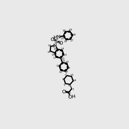 O=C(O)C[C@H]1CC[C@H](c2ccc(-c3ccc4c(c3)CCN4S(=O)(=O)Nc3ccccc3)cc2)CC1